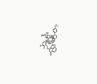 [2H]C([2H])(CN1C([2H])([2H])C([2H])([2H])C([2H])(N(Cc2ccc(-c3ccc(C(F)(F)F)cc3)cc2)C(=O)Cn2c(SCc3cccc(F)c3F)cc(=O)c3ccccc32)C([2H])([2H])C1([2H])[2H])OC